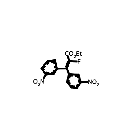 CCOC(=O)C(F)=C(c1cccc([N+](=O)[O-])c1)c1cccc([N+](=O)[O-])c1